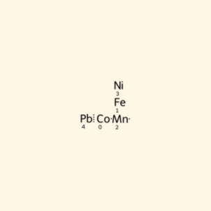 [Co].[Fe].[Mn].[Ni].[Pb]